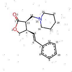 O=C1OC[C@H](/C=C/c2ccccc2)[C@@H]1CN1CCCCC1